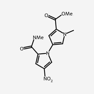 CNC(=O)c1cc([N+](=O)[O-])cn1-c1cc(C(=O)OC)n(C)c1